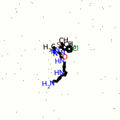 Cc1sc2c(c1C)C(c1ccc(Cl)cc1)=N[C@@H](CC(=O)NCC#Cc1ccc(C#CCCN)[nH]1)c1nnc(C)n1-2